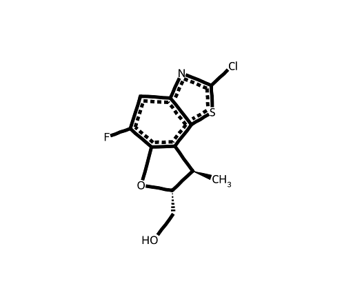 C[C@@H]1c2c(c(F)cc3nc(Cl)sc23)O[C@H]1CO